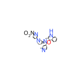 Cc1cc(CN(Cc2c[nH]c3ccccc3c2=O)[C@H]2CCCN(c3ccc([N+](=O)[O-])nc3)C2)ccn1